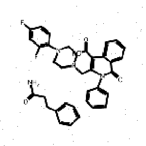 NC(=O)CCc1ccccc1.O=C(O)c1c(CN2CCN(c3ccc(F)cc3F)CC2)n(-c2ccccc2)c(=O)c2ccccc12